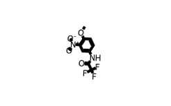 COc1ccc(NC(=O)C(F)(F)F)cc1[N+](=O)[O-]